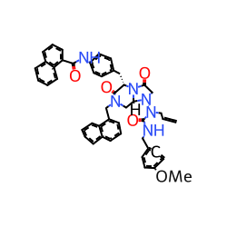 C=CCN(C(=O)NCc1ccc(OC)cc1)N1CC(=O)N2[C@@H](Cc3ccc(NC(=O)c4cccc5ccccc45)cc3)C(=O)N(Cc3cccc4ccccc34)C[C@@H]21